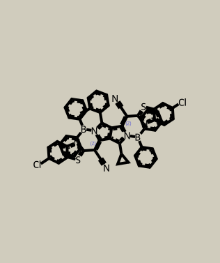 Cc1ccccc1-c1c2/c(=C(\C#N)c3nc4ccc(Cl)cc4s3)n(B(c3ccccc3)c3ccccc3)c(C3CC3)c2/c(=C(\C#N)c2nc3ccc(Cl)cc3s2)n1B(c1ccccc1)c1ccccc1